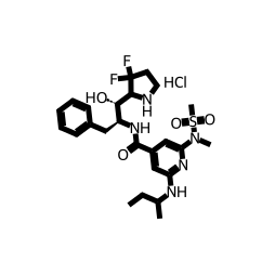 CCC(C)Nc1cc(C(=O)N[C@@H](Cc2ccccc2)[C@H](O)C2NCCC2(F)F)cc(N(C)S(C)(=O)=O)n1.Cl